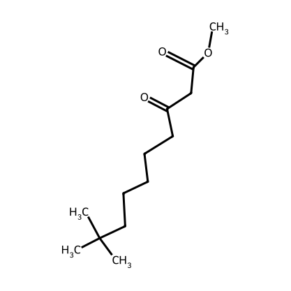 COC(=O)CC(=O)CCCCCC(C)(C)C